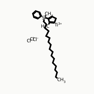 CCCCCCCCCCCCCCCCCC[Si](C)(C1=CC[C]([Ti+3])=C1C)c1ccccc1.[Cl-].[Cl-].[Cl-]